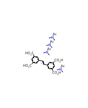 CC(=O)N(C)C.CC(=O)N(C)C.CC(=O)N(C)C.CC(=O)N(C)C.O=C(O)c1cc(/C=C/c2cc(C(=O)O)cc(C(=O)O)c2)cc(C(=O)O)c1